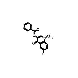 Cn1cc(OC(=O)c2ccccc2)c(=O)c2cc(F)ccc21